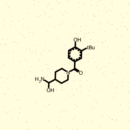 CC(C)(C)c1cc(C(=O)N2CCC(C(N)O)CC2)ccc1O